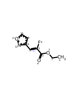 CCOC(=O)/C(F)=C/c1ccon1